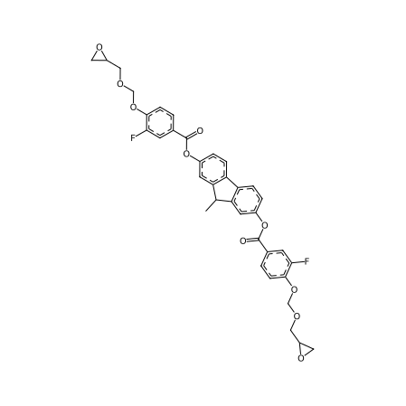 CC1c2cc(OC(=O)c3ccc(OCOCC4CO4)c(F)c3)ccc2-c2ccc(OC(=O)c3ccc(OCOCC4CO4)c(F)c3)cc21